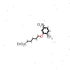 CCOC(=O)CCCCCOc1cc([N+](=O)[O-])ccc1C(F)(F)F